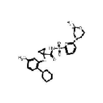 Cc1ccc(C2CCCCC2)c(OC2(C(=O)NS(=O)(=O)c3cccc(N4CCO[C@H](C)C4)n3)CC2)c1